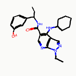 CCC(NC(=O)c1cnc2c(cnn2CC)c1NC1CCCCC1)c1cccc(O)c1